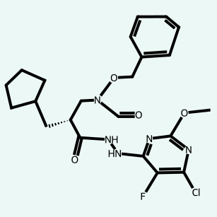 COc1nc(Cl)c(F)c(NNC(=O)[C@H](CC2CCCC2)CN(C=O)OCc2ccccc2)n1